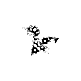 CC(C)CN(C[C@@H](O)[C@H](Cc1cc(F)cc(F)c1)NC(=O)O[C@@H]1CO[C@@H]2OCC[C@](C)(NC(C)C)[C@@H]21)S(=O)(=O)c1ccc2nc(NC3CC3)sc2c1